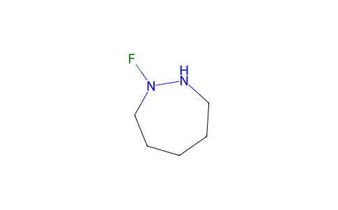 FN1CCCCCN1